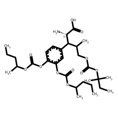 CCCC(C)OC(=O)Oc1ccc(C(C(C)COC(=O)OC(C)(C)CC)[C@H](N)C(=O)O)cc1OC(=O)OC(C)CCC